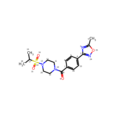 Cc1nc(-c2ccc(C(=O)N3CCN(S(=O)(=O)C(C)C)CC3)cc2)no1